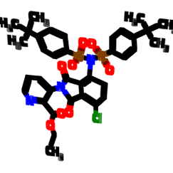 CCOC(=O)c1ncccc1N1C(=O)c2c(Cl)ccc(N(S(=O)(=O)c3ccc(C(C)(C)C)cc3)S(=O)(=O)c3ccc(C(C)(C)C)cc3)c2C1=O